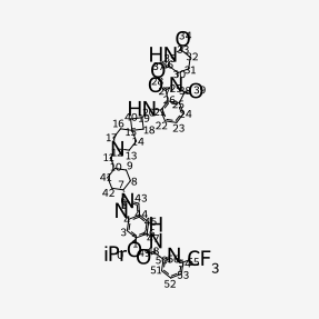 CC(C)Oc1cc2nn([C@H]3CC[C@H](CN4CCC5(CC4)CC(Nc4cccc6c4C(=O)N(C4CCC(=O)NC4=O)C6=O)C5)CC3)cc2cc1NC(=O)c1cccc(C(F)(F)F)n1